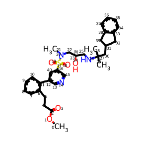 COC(=O)CCc1ccccc1-c1cncc(S(=O)(=O)N(C)C[C@H](O)CNC(C)(C)CC2Cc3ccccc3C2)c1